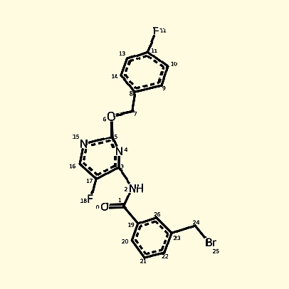 O=C(Nc1nc(OCc2ccc(F)cc2)ncc1F)c1cccc(CBr)c1